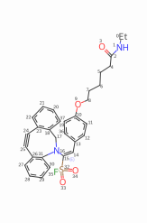 CCNC(=O)CCCCCOc1ccc(/C=C(\N2Cc3ccccc3C#Cc3ccccc32)S(=O)(=O)F)cc1